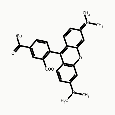 CN(C)c1ccc2c(-c3ccc(C(=O)C(C)(C)C)cc3C(=O)[O-])c3ccc(=[N+](C)C)cc-3oc2c1